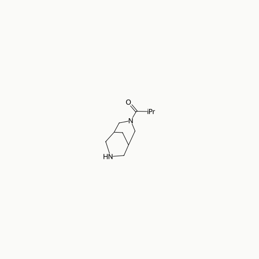 CC(C)C(=O)N1CC2CNCC(C2)C1